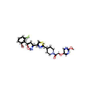 COc1ncc(OCC(=O)N2CCC(c3nc(C4=NOC(c5c(F)cccc5Br)C4)cs3)CC2)cn1